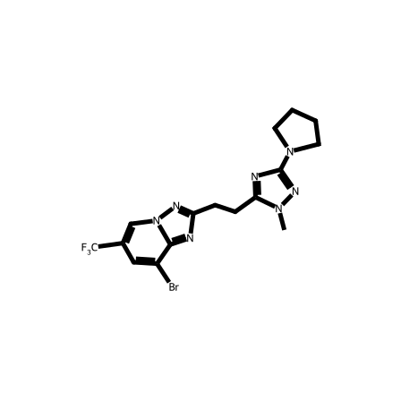 Cn1nc(N2CCCC2)nc1CCc1nc2c(Br)cc(C(F)(F)F)cn2n1